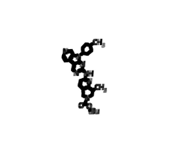 CC1CCC(n2c3cnccc3c3cnc(Nc4ccc5c(n4)C(C)CN(C(=O)OC(C)(C)C)C5)nc32)CC1